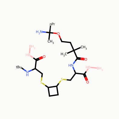 BBC(=O)C(CSC1CCC1SCC(NC(C)(C)C)C(=O)BB)NC(=O)C(C)(C)CCOC(C)(N)CCC